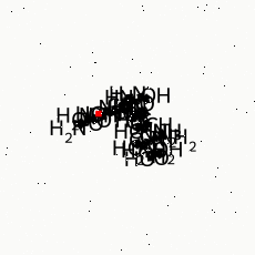 CC(C)C(N)C(=O)O.CC(C)CC(N)C(=O)O.N=C(N)NCCCC(N)C(=O)O.NC(=O)CC(N)C(=O)O.NC(CO)C(=O)O.NC(Cc1c[nH]c2ccccc12)C(=O)O.O=C(O)[C@@H]1CCCN1